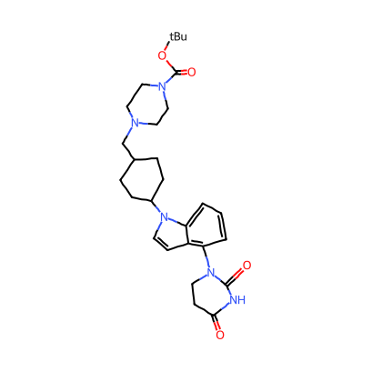 CC(C)(C)OC(=O)N1CCN(CC2CCC(n3ccc4c(N5CCC(=O)NC5=O)cccc43)CC2)CC1